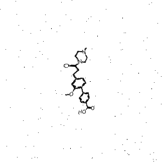 COc1cc(CCC(=O)N2CCN(C)CC2)ccc1-c1ccc(C(=O)O)cc1